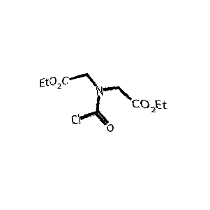 CCOC(=O)CN(CC(=O)OCC)C(=O)Cl